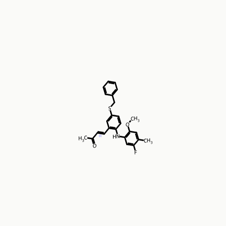 COc1cc(C)c(F)cc1Nc1ccc(SCc2ccccc2)cc1/C=C/C(C)=O